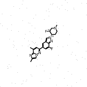 Cc1cn2nc(-c3cc(F)c4nn([C@H]5CCN(C)C[C@@H]5F)cc4c3)cc(C)c2n1